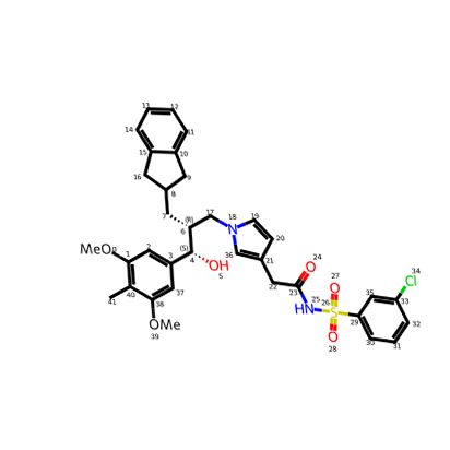 COc1cc([C@@H](O)[C@H](CC2Cc3ccccc3C2)Cn2ccc(CC(=O)NS(=O)(=O)c3cccc(Cl)c3)c2)cc(OC)c1C